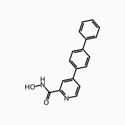 O=C(NO)c1cc(-c2ccc(-c3ccccc3)cc2)ccn1